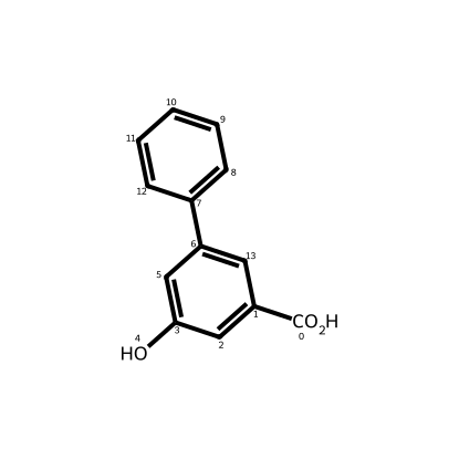 O=C(O)c1cc(O)cc(-c2ccccc2)c1